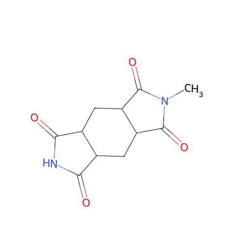 CN1C(=O)C2CC3C(=O)NC(=O)C3CC2C1=O